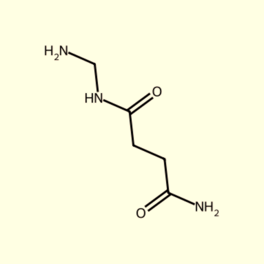 NCNC(=O)CCC(N)=O